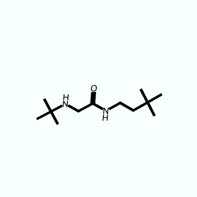 CC(C)(C)CCNC(=O)CNC(C)(C)C